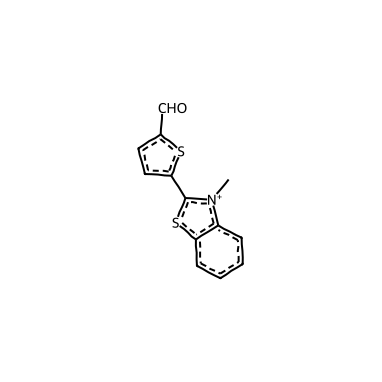 C[n+]1c(-c2ccc(C=O)s2)sc2ccccc21